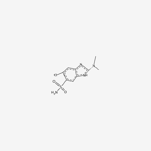 CN(C)c1nc2cc(Cl)c(S(N)(=O)=O)cc2[nH]1